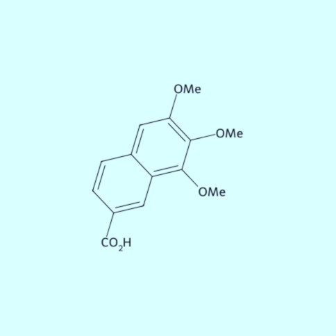 COc1cc2ccc(C(=O)O)cc2c(OC)c1OC